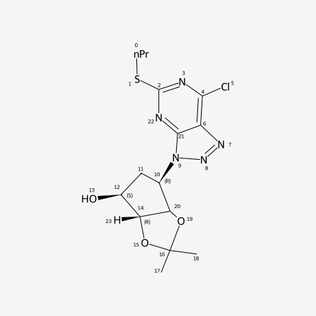 CCCSc1nc(Cl)c2nnn([C@@H]3C[C@H](O)[C@H]4OC(C)(C)OC34)c2n1